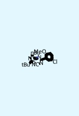 CCCCn1nc(C(C)(C)C)s/c1=N\C(=NC#N)c1cc(Cl)ccc1OC